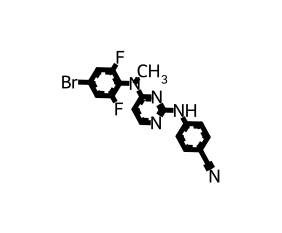 CN(c1ccnc(Nc2ccc(C#N)cc2)n1)c1c(F)cc(Br)cc1F